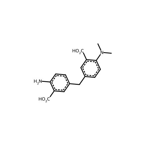 CN(C)c1ccc(Cc2ccc(N)c(C(=O)O)c2)cc1C(=O)O